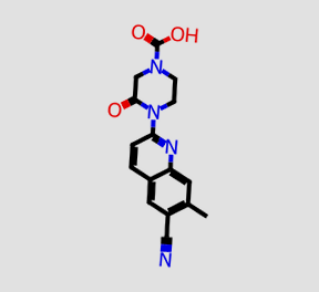 Cc1cc2nc(N3CCN(C(=O)O)CC3=O)ccc2cc1C#N